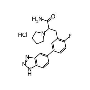 Cl.NC(=O)C(Cc1cc(-c2ccc3[nH]nnc3c2)ccc1F)N1CCCC1